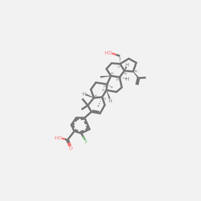 C=C(C)[C@@H]1CC[C@]2(CO)CC[C@]3(C)[C@H](CC[C@@H]4[C@@]5(C)CC=C(c6ccc(C(=O)O)c(F)c6)C(C)(C)[C@@H]5CC[C@]43C)[C@@H]12